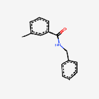 Cc1cccc(C(=O)NCc2cc[c]cc2)c1